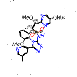 COc1cnc([C@@H](OC)[C@@H](C)S(=O)(=O)Nc2nnc(-c3cncc(C)c3)n2-c2c(OC)cccc2OC)nc1